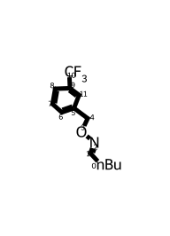 CCCCC=NOCc1cccc(C(F)(F)F)c1